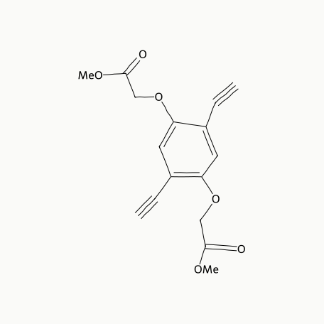 C#Cc1cc(OCC(=O)OC)c(C#C)cc1OCC(=O)OC